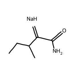 C=C(C(N)=O)C(C)CC.[NaH]